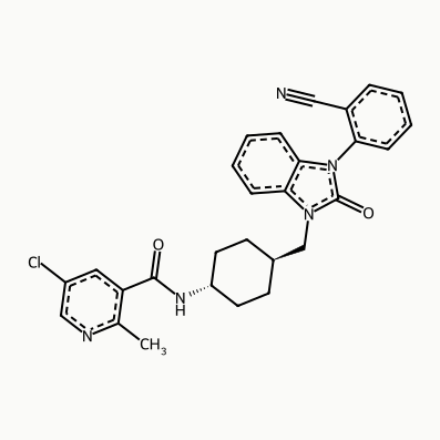 Cc1ncc(Cl)cc1C(=O)N[C@H]1CC[C@H](Cn2c(=O)n(-c3ccccc3C#N)c3ccccc32)CC1